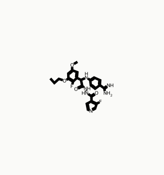 CCCOc1cc(OC)cc(C(Nc2ccc(C(=N)N)cc2)C(=O)NNC(=O)c2ccncc2F)c1F